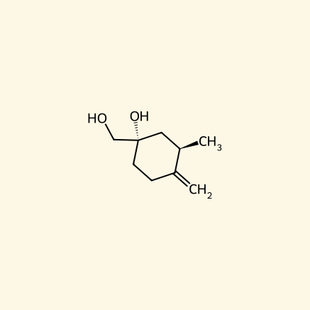 C=C1CC[C@@](O)(CO)C[C@H]1C